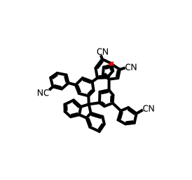 N#Cc1cccc(-c2cc(-c3cccc(C#N)c3)cc(C3(c4cc(-c5cccc(C#N)c5)cc(-c5cccc(C#N)c5)c4)c4ccccc4-c4ccccc43)c2)c1